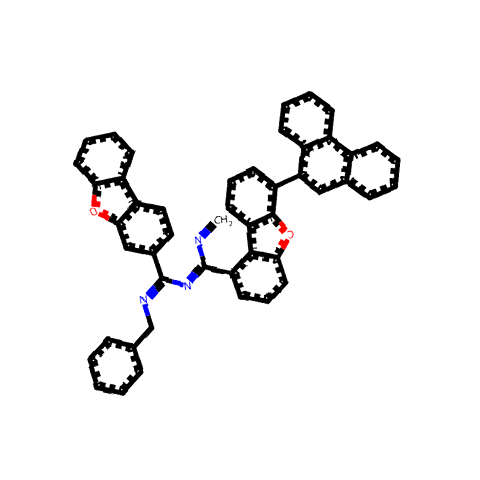 C=N/C(=N\C(=N/Cc1ccccc1)c1ccc2c(c1)oc1ccccc12)c1cccc2oc3c(-c4cc5ccccc5c5ccccc45)cccc3c12